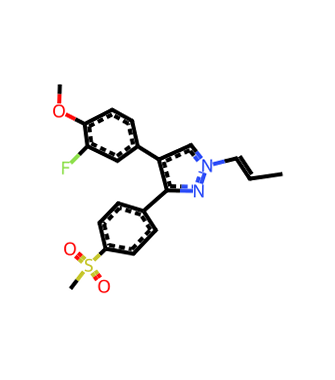 CC=Cn1cc(-c2ccc(OC)c(F)c2)c(-c2ccc(S(C)(=O)=O)cc2)n1